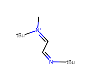 C/[N+](=C/C=N\C(C)(C)C)C(C)(C)C